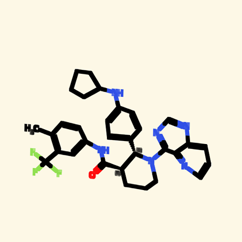 Cc1ccc(NC(=O)[C@@H]2CCCN(c3ncnc4cccnc34)[C@H]2c2ccc(NC3CCCC3)cc2)cc1C(F)(F)F